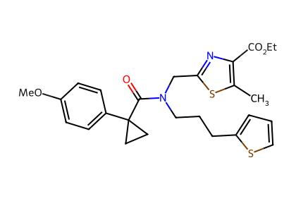 CCOC(=O)c1nc(CN(CCCc2cccs2)C(=O)C2(c3ccc(OC)cc3)CC2)sc1C